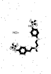 CN(CCOc1ccc(NS(C)(=O)=O)cc1)CCc1ccc(NS(C)(=O)=O)cc1.Cl